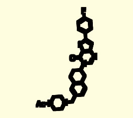 CC(=O)N1CCN(Cc2ccc3c(c2)CCC(n2cnc4cc(-c5ccc(F)cc5)sc4c2=O)C3)CC1